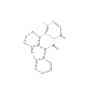 O=C1C=CC(O)=C(c2cccc3[o+]c4ccccc4c(C(=O)O)c23)C1